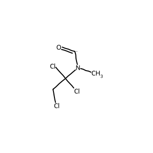 CN([C]=O)C(Cl)(Cl)CCl